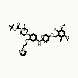 COc1cc(OC)c(F)c(COc2cnc(Nc3ccc(N4C[C@@H](C)N(C(=O)OC(C)(C)C)[C@@H](C)C4)c(OCCn4cccn4)c3)nc2)c1F